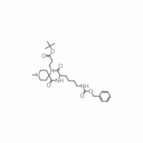 CN1CCC2(CC1)C(=O)NC(CCCCNC(=O)OCc1ccccc1)C(=O)N2CCC(=O)OC(C)(C)C